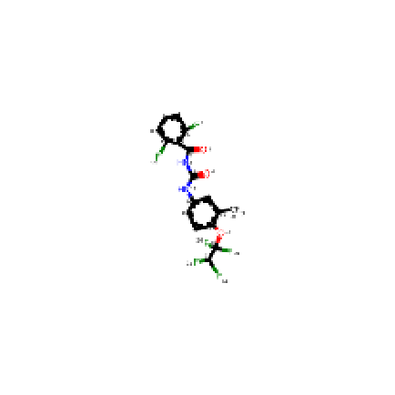 O=C(NC(=O)c1c(F)cccc1F)Nc1ccc(OC(F)(F)C(F)F)c(C(F)(F)F)c1